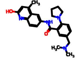 Cc1cc(O)nc2ccc(NC(=O)c3cc(CN(C)C)ccc3N3CCCC3)cc12